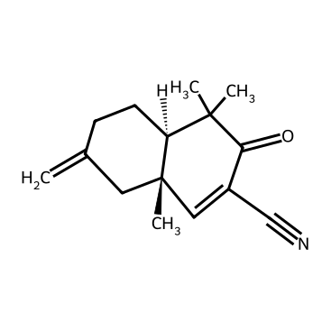 C=C1CC[C@H]2C(C)(C)C(=O)C(C#N)=C[C@]2(C)C1